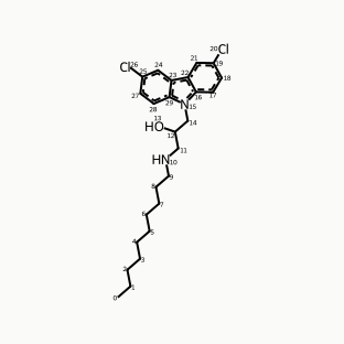 CCCCCCCCCCNCC(O)Cn1c2ccc(Cl)cc2c2cc(Cl)ccc21